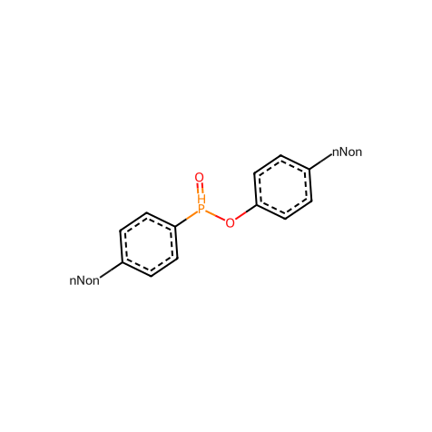 CCCCCCCCCc1ccc(O[PH](=O)c2ccc(CCCCCCCCC)cc2)cc1